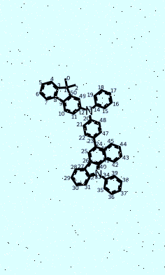 CC1(C)c2ccccc2-c2ccc(N(c3ccccc3)c3ccc(-c4cc5c6ccccc6n(-c6ccccc6)c5c5ccccc45)cc3)cc21